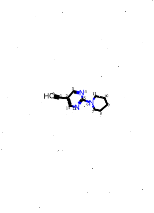 C#Cc1cnc(N2CCCCC2)nc1